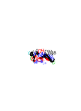 COc1cc(C(=O)NCC(O)(c2cc3c(c(-c4ccc(F)cc4Cl)n2)OC[C@]3(C)C(N)=O)C(F)(F)F)cc2cc(Cl)c(C)nc12